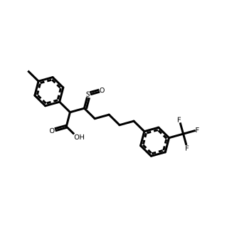 Cc1ccc(C(C(=O)O)C(CCCCc2cccc(C(F)(F)F)c2)=S=O)cc1